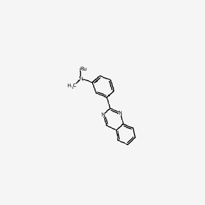 CCC(C)N(C)c1cccc(-c2ncc3ccccc3n2)c1